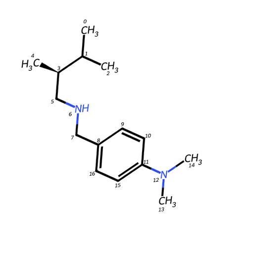 CC(C)[C@H](C)CNCc1ccc(N(C)C)cc1